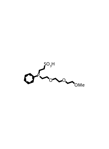 COCCOCCOCCP(CCS(=O)(=O)O)c1ccccc1